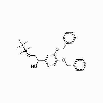 CC(C)(C)[Si](C)(C)OCC(O)c1cc(OCc2ccccc2)c(OCc2ccccc2)cn1